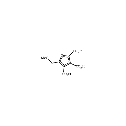 CCOC(=O)c1oc(COC)c(C(=O)OCC)c1C(=O)OCC